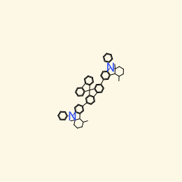 CC1CCCC2(C)C1c1cc(-c3ccc4c(c3)C3(c5ccccc5-c5ccccc53)c3cc(-c5ccc6c(c5)C5C(C)CCCC5(C)N6c5ccccc5)ccc3-4)ccc1N2c1ccccc1